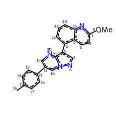 COc1ccc2c(-c3cnn4cc(-c5ccc(C)cc5)cnc34)cccc2n1